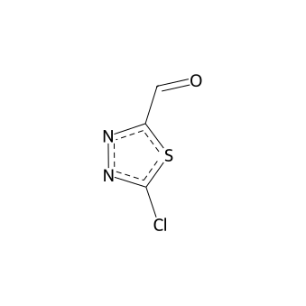 O=Cc1nnc(Cl)s1